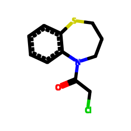 O=C(CCl)N1CCCSc2ccccc21